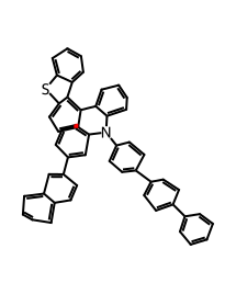 c1ccc(-c2ccc(-c3ccc(N(c4cccc(-c5ccc6ccccc6c5)c4)c4ccccc4-c4cccc5sc6ccccc6c45)cc3)cc2)cc1